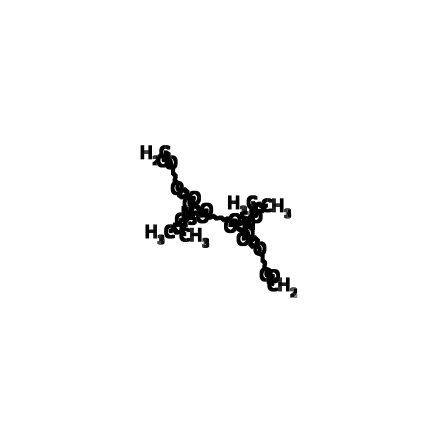 C=CC(=O)OCCCCCCOc1ccc(C(=O)Oc2ccc(OC(=O)CCCCCCC(=O)Oc3ccc(OC(=O)c4ccc(OCCCCCCOC(=O)C=C)cc4)c4nc(-c5cc6c(C)cc(C)cc6o5)sc34)c3sc(-c4cc5c(C)cc(C)cc5o4)nc23)cc1